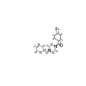 O=C(c1ccc(F)cc1)N1CCN(CC2CC=CCC2)CC1